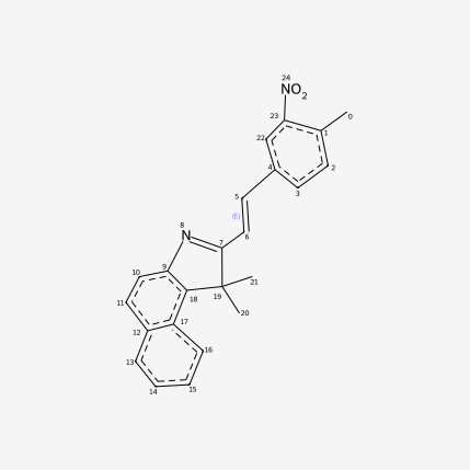 Cc1ccc(/C=C/C2=Nc3ccc4ccccc4c3C2(C)C)cc1[N+](=O)[O-]